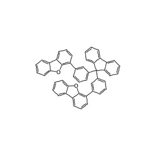 c1cc(-c2cccc3c2oc2ccccc23)cc(C2(c3cccc(-c4cccc5c4oc4ccccc45)c3)c3ccccc3-c3ccccc32)c1